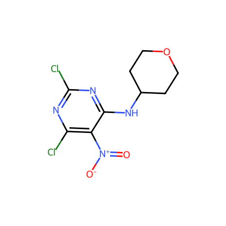 O=[N+]([O-])c1c(Cl)nc(Cl)nc1NC1CCOCC1